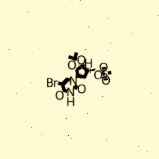 CC1(C)OC2[C@@H](O1)[C@@H](COS(C)(=O)=O)C[C@H]2n1cc(Br)c(=O)[nH]c1=O